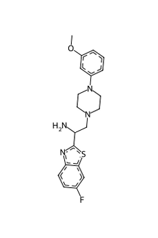 COc1cccc(N2CCN(CC(N)c3nc4ccc(F)cc4s3)CC2)c1